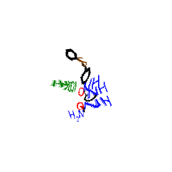 Cl.Cl.NCC(=O)NC1CN[C@H](C(=O)Nc2ccc(CSc3ccccc3)cc2)C1